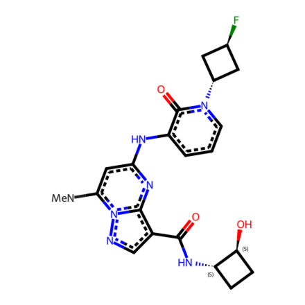 CNc1cc(Nc2cccn([C@H]3C[C@H](F)C3)c2=O)nc2c(C(=O)N[C@H]3CC[C@@H]3O)cnn12